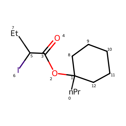 CCCC1(OC(=O)C(I)CC)CCCCC1